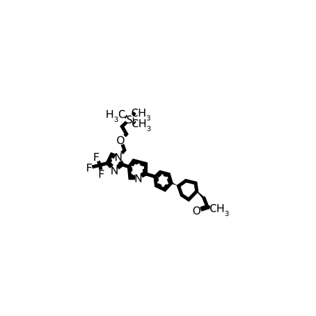 CC(=O)C[C@H]1CC[C@H](c2ccc(-c3ccc(-c4nc(C(F)(F)F)cn4COCC[Si](C)(C)C)cn3)cc2)CC1